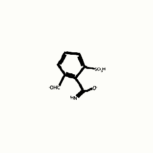 N=C([O])c1c([C]=O)cccc1S(=O)(=O)O